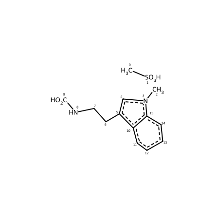 CS(=O)(=O)O.Cn1cc(CCNC(=O)O)c2ccccc21